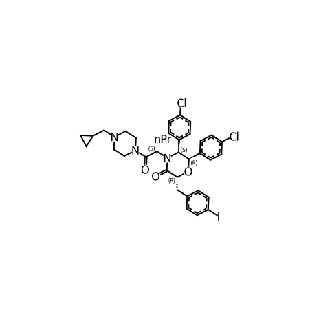 CCC[C@@H](C(=O)N1CCN(CC2CC2)CC1)N1C(=O)[C@@H](Cc2ccc(I)cc2)O[C@H](c2ccc(Cl)cc2)[C@@H]1c1ccc(Cl)cc1